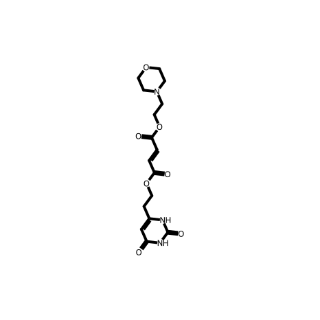 O=C(/C=C/C(=O)OCCN1CCOCC1)OCCc1cc(=O)[nH]c(=O)[nH]1